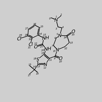 CN(C)CCN1CCN(C(=O)c2nc(C(C)(C)C)sc2NC(=O)Nc2cccc(Cl)c2Cl)CCC1=O